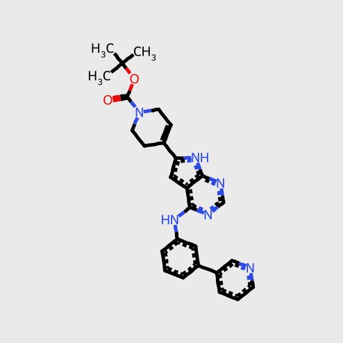 CC(C)(C)OC(=O)N1CC=C(c2cc3c(Nc4cccc(-c5cccnc5)c4)ncnc3[nH]2)CC1